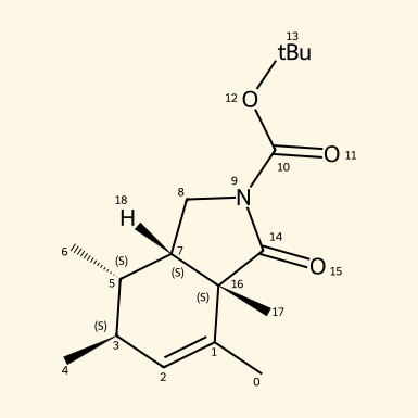 CC1=C[C@@H](C)[C@H](C)[C@@H]2CN(C(=O)OC(C)(C)C)C(=O)[C@]12C